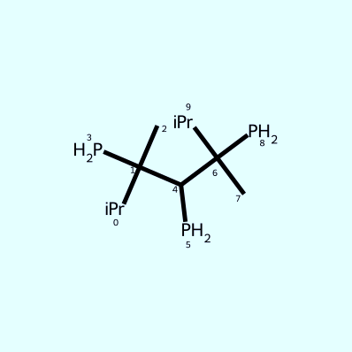 CC(C)C(C)(P)C(P)C(C)(P)C(C)C